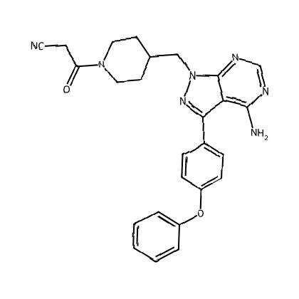 N#CCC(=O)N1CCC(Cn2nc(-c3ccc(Oc4ccccc4)cc3)c3c(N)ncnc32)CC1